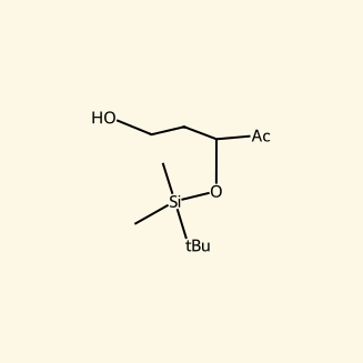 CC(=O)C(CCO)O[Si](C)(C)C(C)(C)C